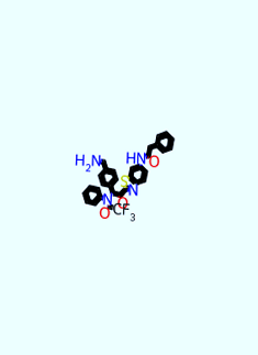 NCc1ccc(C(C(=O)c2nc3ccc(NC(=O)Cc4ccccc4)cc3s2)N(C(=O)C(F)(F)F)c2ccccc2)cc1